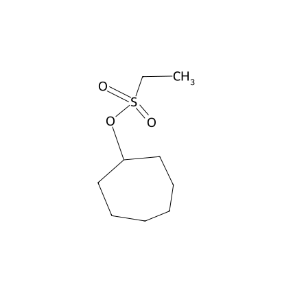 CCS(=O)(=O)OC1CCCCCC1